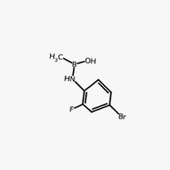 CB(O)Nc1ccc(Br)cc1F